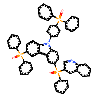 O=P(c1ccccc1)(c1ccccc1)c1ccc(-n2c3ccc(P(=O)(c4ccccc4)c4ccccc4)cc3c3cc(P(=O)(c4ccccc4)c4cnc5ccccc5c4)ccc32)cc1